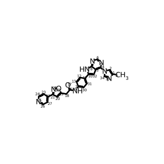 Cc1cn(-c2ncnc3[nH]c(-c4ccc(NC(=O)Cc5cc(-c6ccncc6)no5)cc4)cc23)cn1